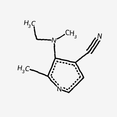 CCN(C)c1c(C#N)ccnc1C